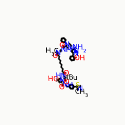 Cc1ncsc1-c1ccc(CNC(=O)[C@@H]2C[C@@H](O)CN2C(=O)[C@@H](NC(=O)CCCCCCCCC(=O)N(C)CCNC(=O)C2CN(c3cc(-c4ccccc4O)nnc3N)CCN2c2ccccc2)C(C)(C)C)cc1